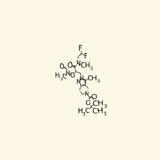 Cc1c2c(nn1CC(ON(C)C=O)C(=O)N(C)CC(F)F)CCN(C(=O)OC(C)(C)C)C2